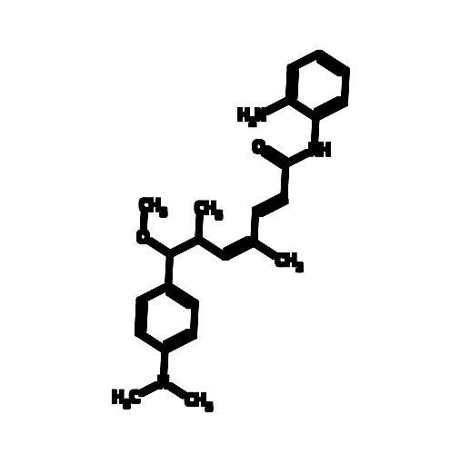 COC(c1ccc(N(C)C)cc1)C(C)C=C(C)C=CC(=O)Nc1ccccc1N